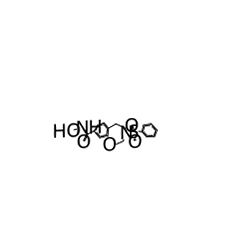 O=C(NO)c1ccc2c(c1)OCCN(S(=O)(=O)c1ccccc1)CC2